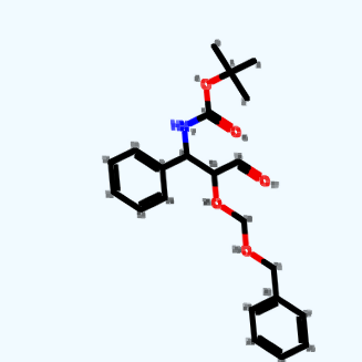 CC(C)(C)OC(=O)NC(c1ccccc1)C(C=O)OCOCc1ccccc1